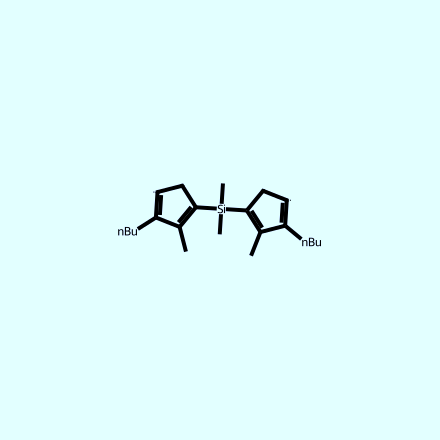 CCCCC1=[C]CC([Si](C)(C)C2=C(C)C(CCCC)=[C]C2)=C1C